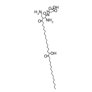 CCCCCCCCCCCCCCCC(=O)C(O)CCCCCCCCCCCCCCC(=O)C(CCN)[C@H](N)C(=O)NCCS(=O)(=O)O